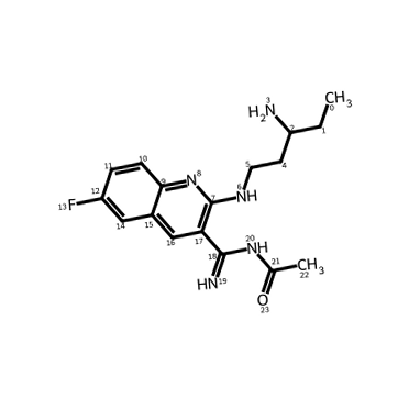 CCC(N)CCNc1nc2ccc(F)cc2cc1C(=N)NC(C)=O